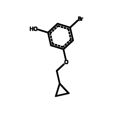 Oc1cc(Br)cc(OCC2CC2)c1